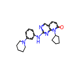 O=c1ccc2cnc(Nc3cccc(N4CCCCC4)c3)nc2n1C1CCCC1